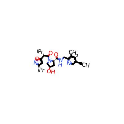 C#Cc1cnc(CNC(=O)[C@@H]2C[C@@H](O)CN2C(=O)[C@H](c2cc(C(C)C)no2)C(C)C)c(C)c1